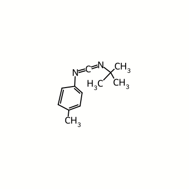 Cc1ccc(N=C=NC(C)(C)C)cc1